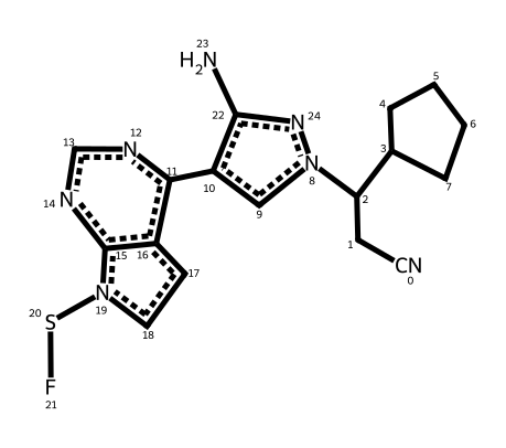 N#CCC(C1CCCC1)n1cc(-c2ncnc3c2ccn3SF)c(N)n1